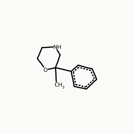 CC1(c2ccccc2)CNCCO1